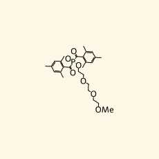 COCCOCCOCCOP(=O)(C(=O)c1c(C)cc(C)cc1C)C(=O)c1c(C)cc(C)cc1C